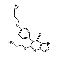 O=c1c2[nH]ccc2nc(SCCO)n1-c1ccc(OCCC2CC2)cc1